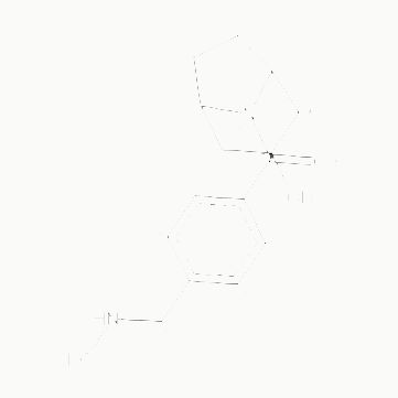 CNCc1ccc(C(=O)N2C3CCC2CC(O)C3)cc1